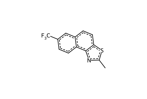 Cc1nc2c(ccc3cc(C(F)(F)F)ccc32)s1